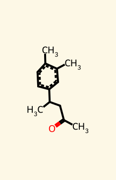 CC(=O)CC(C)c1ccc(C)c(C)c1